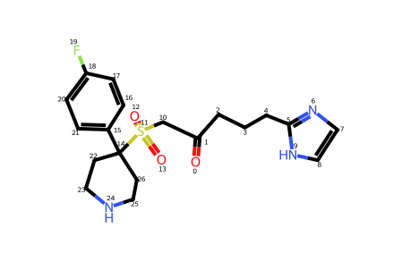 O=C(CCCc1ncc[nH]1)CS(=O)(=O)C1(c2ccc(F)cc2)CCNCC1